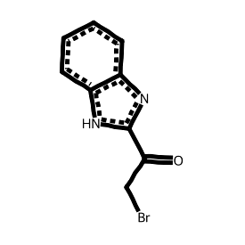 O=C(CBr)c1nc2ccccc2[nH]1